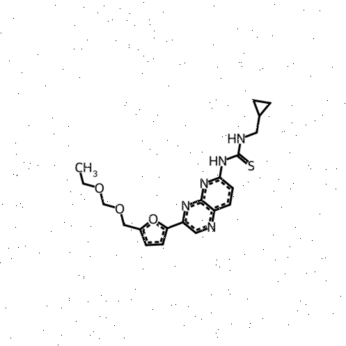 CCOCOCc1ccc(-c2cnc3ccc(NC(=S)NCC4CC4)nc3n2)o1